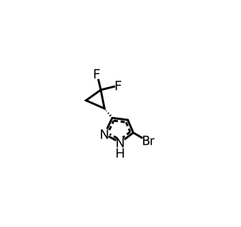 FC1(F)C[C@H]1c1cc(Br)[nH]n1